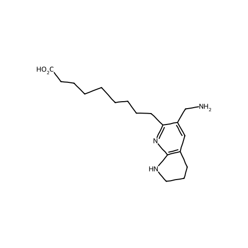 NCc1cc2c(nc1CCCCCCCCC(=O)O)NCCC2